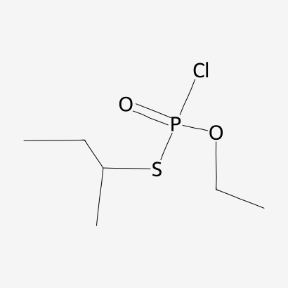 CCOP(=O)(Cl)SC(C)CC